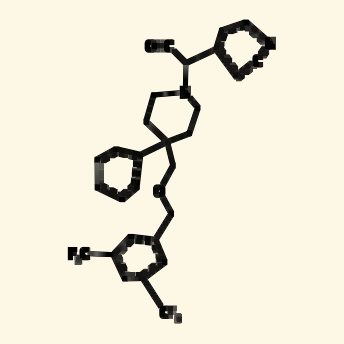 O=CC(c1ccncc1)N1CCC(COCc2cc(C(F)(F)F)cc(C(F)(F)F)c2)(c2ccccc2)CC1